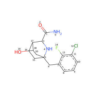 NC(=O)C1NC2(Cc3cccc(Cl)c3F)CCC1C(O)C2